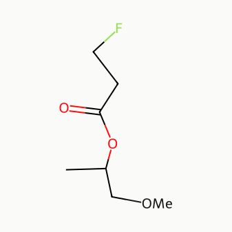 COCC(C)OC(=O)CCF